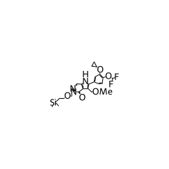 COCc1c(-c2ccc(OC(F)F)c(OC3CC3)c2)[nH]c2cnn(COCC[Si](C)(C)C)c(=O)c12